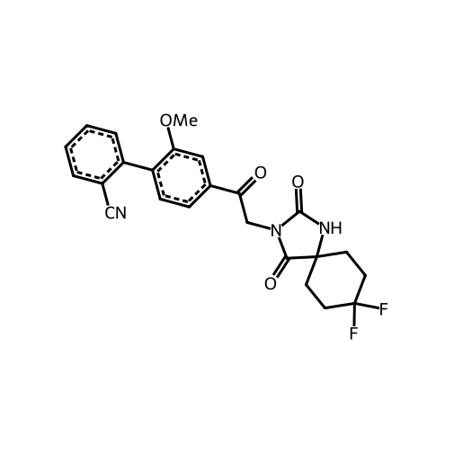 COc1cc(C(=O)CN2C(=O)NC3(CCC(F)(F)CC3)C2=O)ccc1-c1ccccc1C#N